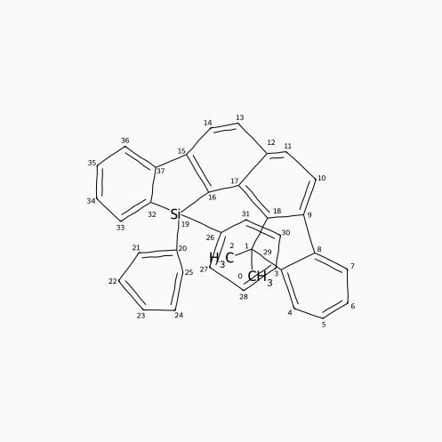 CC1(C)c2ccccc2-c2ccc3ccc4c(c3c21)[Si](c1ccccc1)(c1ccccc1)c1ccccc1-4